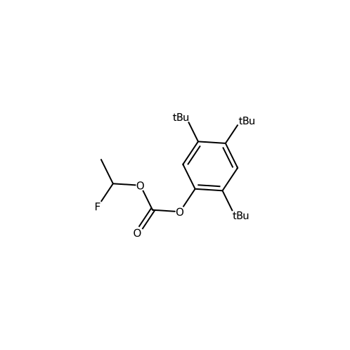 CC(F)OC(=O)Oc1cc(C(C)(C)C)c(C(C)(C)C)cc1C(C)(C)C